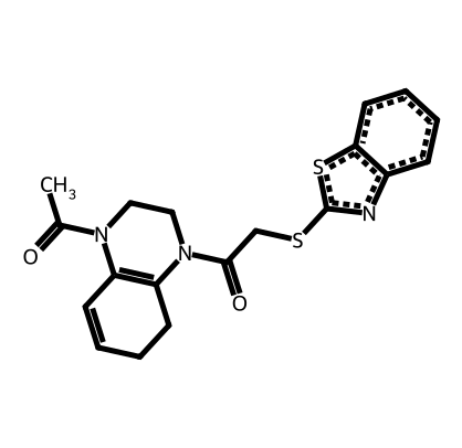 CC(=O)N1CCN(C(=O)CSc2nc3ccccc3s2)C2=C1C=CCC2